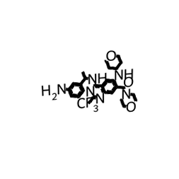 Cc1nc(NC(C)c2cc(N)cc(C(F)(F)F)c2)c2cc(NC3CCOCC3)c(C(=O)N3CCOCC3)cc2n1